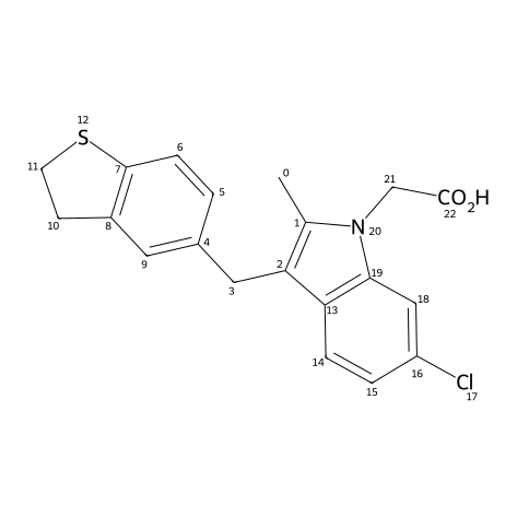 Cc1c(Cc2ccc3c(c2)CCS3)c2ccc(Cl)cc2n1CC(=O)O